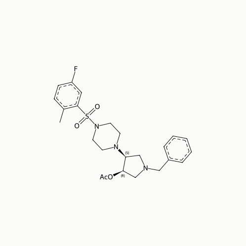 CC(=O)O[C@@H]1CN(Cc2ccccc2)C[C@@H]1N1CCN(S(=O)(=O)c2cc(F)ccc2C)CC1